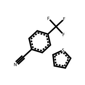 N#Cc1ccc(C(F)(F)F)cc1.c1ccsc1